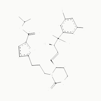 CC(C)OC(=O)c1ccc(CCCN2C(=O)OCC[C@@H]2/C=C/[C@@H](O)C(F)(F)c2cc(Br)cc(I)c2)s1